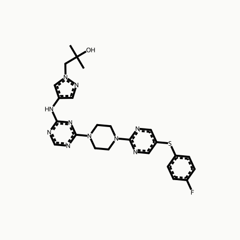 CC(C)(O)Cn1cc(Nc2ncnc(N3CCN(c4ncc(Sc5ccc(F)cc5)cn4)CC3)n2)cn1